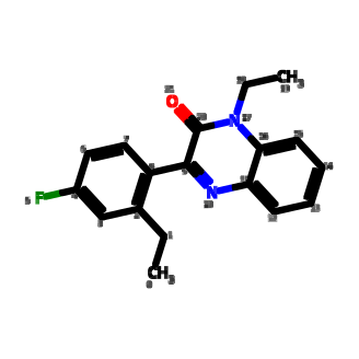 CCc1cc(F)ccc1-c1nc2ccccc2n(CC)c1=O